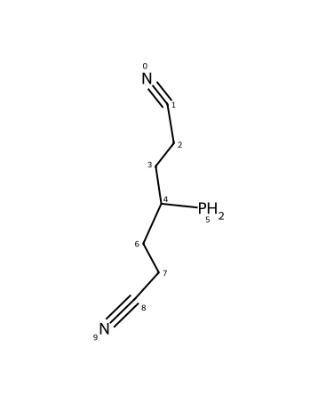 N#CCCC(P)CCC#N